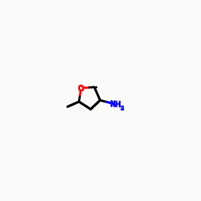 CC1CC(N)[CH]O1